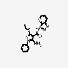 CCSc1nn(-c2ccccc2)c(N)c1C(=O)On1nnc2cccnc21